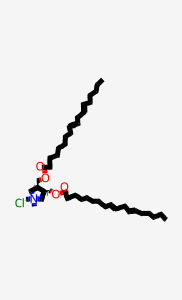 CCCCCC=CCC=CCCCCCCCC(=O)OC[C@@H]1C[N+](C)(C)C[C@H]1COC(=O)CCCCCCCC=CCC=CCCCCC.[Cl-]